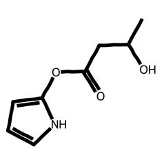 CC(O)CC(=O)Oc1ccc[nH]1